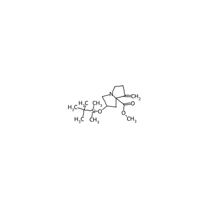 C=C1CCN2CC(O[Si](C)(C)C(C)(C)C)CC12C(=O)OC